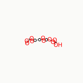 C=C(CO)C(=O)OCCOc1ccc(OC(=O)c2ccc(-c3ccc(OC(=O)C(=C)CC(=O)OC)cc3)cc2)cc1